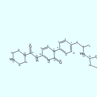 CC(Cc1ccc(-n2ccc(NC(=O)N3CCNCC3)nc2=O)cc1)NC1CCC(N)C1